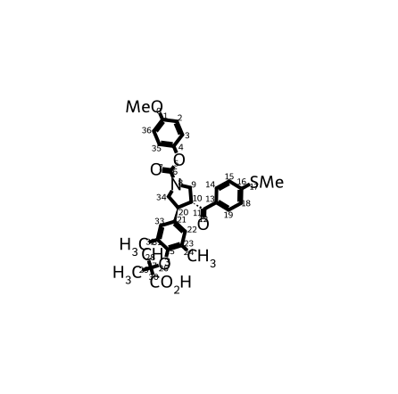 COc1ccc(OC(=O)N2C[C@H](C(=O)c3ccc(SC)cc3)[C@@H](c3cc(C)c(OC(C)(C)C(=O)O)c(C)c3)C2)cc1